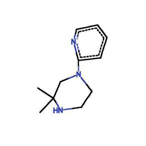 CC1(C)CN(c2ccccn2)CCN1